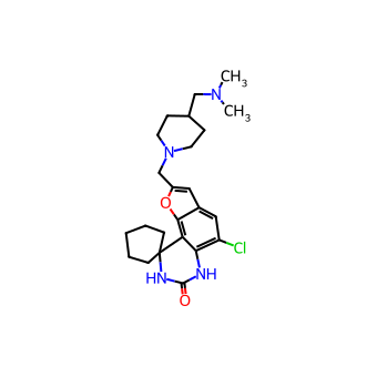 CN(C)CC1CCN(Cc2cc3cc(Cl)c4c(c3o2)C2(CCCCC2)NC(=O)N4)CC1